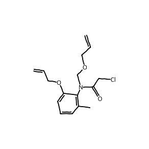 C=CCOCN(C(=O)CCl)c1c(C)cccc1OCC=C